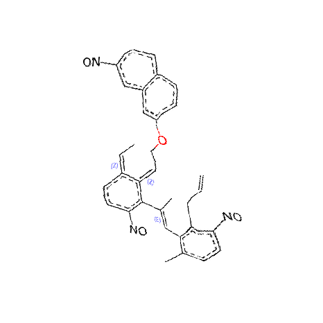 C=CCc1c(N=O)ccc(C)c1/C=C(\C)c1c(N=O)ccc(=C/C)/c1=C\COc1ccc2ccc(N=O)cc2c1